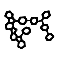 c1ccc(-c2ccc(N(c3ccccc3)c3ccc(-c4ccc(-n5c6ccccc6c6ccc7c8ccc9c%10ccccc%10n(-c%10ccccc%10)c9c8sc7c65)cc4)cc3)cc2)cc1